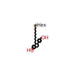 CCCCCCSCCCCCCCCCCC1c2ccc(O)cc2CCC1c1ccc(CO)cc1